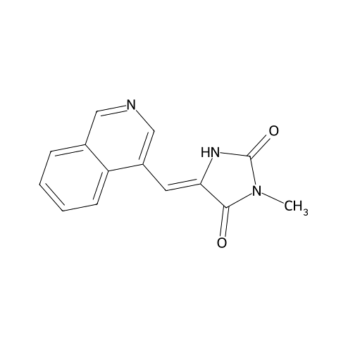 CN1C(=O)NC(=Cc2cncc3ccccc23)C1=O